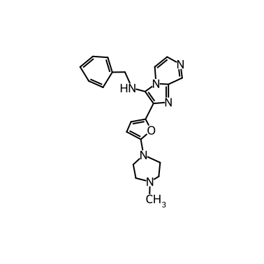 CN1CCN(c2ccc(-c3nc4cnccn4c3NCc3ccccc3)o2)CC1